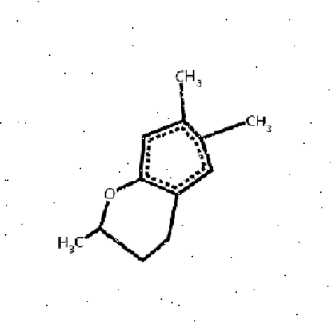 Cc1cc2c(cc1C)OC(C)CC2